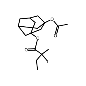 CCC(C)(I)C(=O)OC12CC3CC(CC(OC(C)=O)(C3)C1)C2